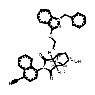 C[C@]12O[C@](CCOc3nn(Cc4ccccc4)c4ccccc34)(C[C@@H]1O)[C@H]1C(=O)N(c3ccc(C#N)c4ccccc34)C(=O)[C@H]12